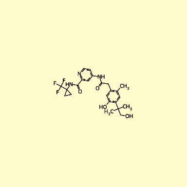 Cc1cc(C(C)(C)CO)c(O)cc1CC(=O)Nc1ccnc(C(=O)NC2(C(F)(F)F)CC2)c1